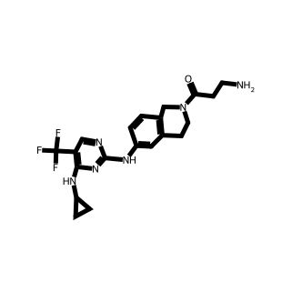 NCCC(=O)N1CCc2cc(Nc3ncc(C(F)(F)F)c(NC4CC4)n3)ccc2C1